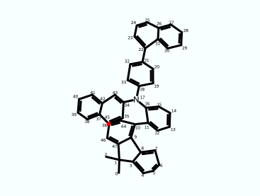 CC1(C)c2ccccc2-c2c(-c3ccccc3N(c3ccc(-c4cccc5ccccc45)cc3)c3ccc4ccccc4c3)cccc21